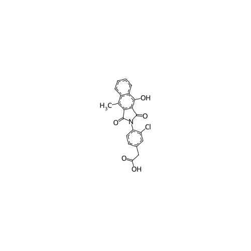 Cc1c2c(c(O)c3ccccc13)C(=O)N(c1ccc(CC(=O)O)cc1Cl)C2=O